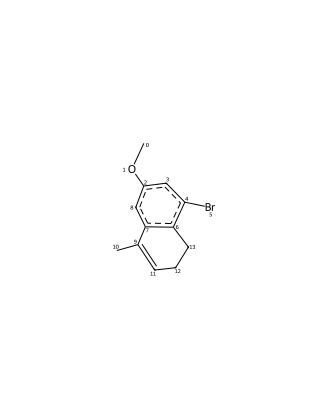 COc1cc(Br)c2c(c1)C(C)=CCC2